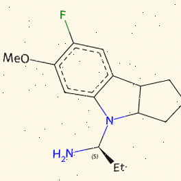 C[CH][C@@H](N)N1c2cc(OC)c(F)cc2C2CCCC21